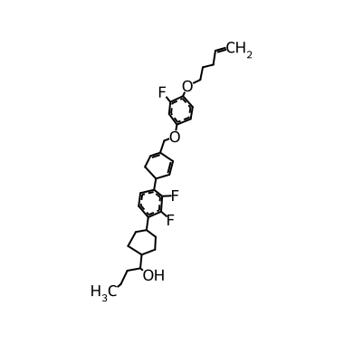 C=CCCCOc1ccc(OCC2=CCC(c3ccc(C4CCC(C(O)CCC)CC4)c(F)c3F)C=C2)cc1F